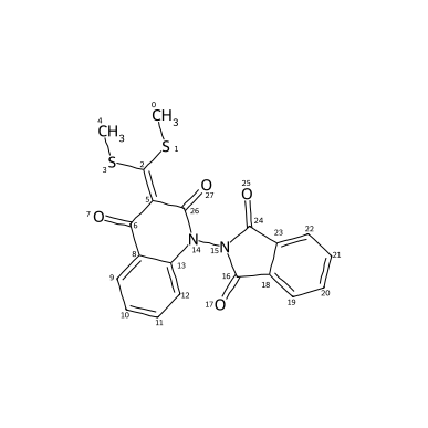 CSC(SC)=C1C(=O)c2ccccc2N(N2C(=O)c3ccccc3C2=O)C1=O